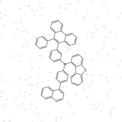 c1ccc(-c2c(-c3cccc(N(c4ccc(-c5cccc6ccccc56)cc4)c4cccc5sc6ccccc6c45)c3)c3ccccc3c3ccccc23)cc1